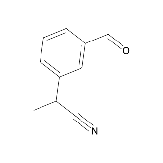 CC(C#N)c1cccc(C=O)c1